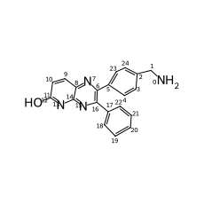 NCc1ccc(-c2nc3ccc(O)nc3nc2-c2ccccc2)cc1